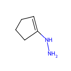 NNC1=CCCC1